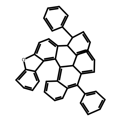 C1=CCC2C(=C1)C(c1ccccc1)=c1ccccc1=C2c1c(C2C=CC=CC2c2ccccc2)ccc2oc3ccccc3c12